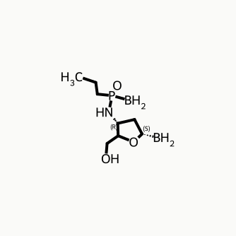 B[C@H]1C[C@@H](NP(B)(=O)CCC)C(CO)O1